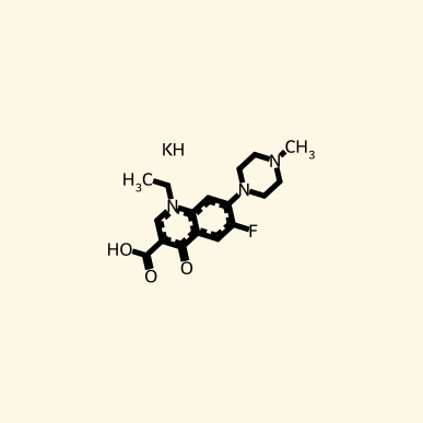 CCn1cc(C(=O)O)c(=O)c2cc(F)c(N3CCN(C)CC3)cc21.[KH]